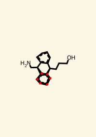 NCC12c3ccccc3C(CCCO)(c3ccccc31)c1ccccc12